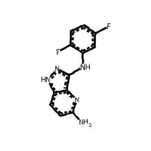 Nc1ccc2[nH]nc(Nc3cc(F)ccc3F)c2n1